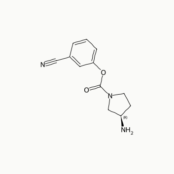 N#Cc1cccc(OC(=O)N2CC[C@@H](N)C2)c1